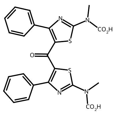 CN(C(=O)O)c1nc(-c2ccccc2)c(C(=O)c2sc(N(C)C(=O)O)nc2-c2ccccc2)s1